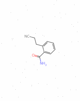 N#CCCc1ccccc1C(N)=O